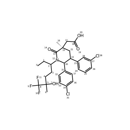 CCC(CCC(C)(O)C(F)(F)F)N1C(=O)[C@@](C)(CC(=O)O)CC(c2cccc(Cl)c2)C1c1ccc(Cl)cc1